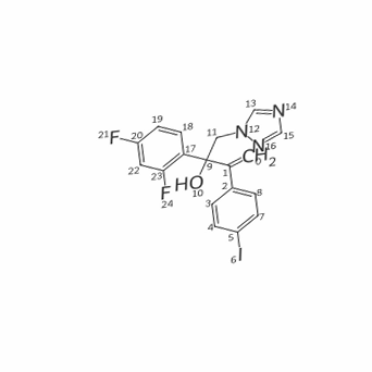 C=C(c1ccc(I)cc1)C(O)(Cn1cncn1)c1ccc(F)cc1F